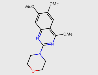 [CH2-][OH+]c1nc(N2CCOCC2)nc2cc(OC)c(OC)cc12